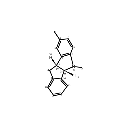 Cc1ccc2c(c1)[C@H]1Cc3ccccc3[C@H]1N2C